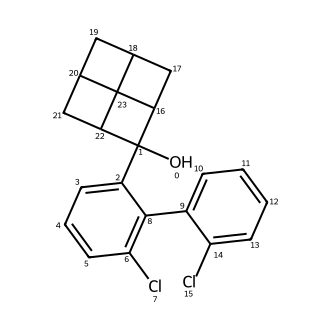 OC1(c2cccc(Cl)c2-c2ccccc2Cl)C2CC3CC4CC1C342